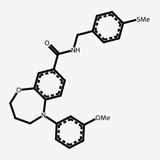 COc1cccc(N2CCCOc3cc(C(=O)NCc4ccc(SC)cc4)ccc32)c1